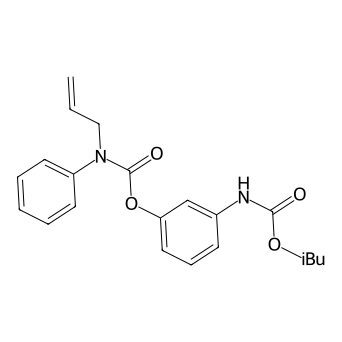 C=CCN(C(=O)Oc1cccc(NC(=O)OC(C)CC)c1)c1ccccc1